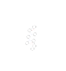 c1ccc(N(c2cccc(N(c3ccccc3)c3cccc4c3oc3c5ccccc5ccc43)c2)c2cccc3c2oc2ccccc23)cc1